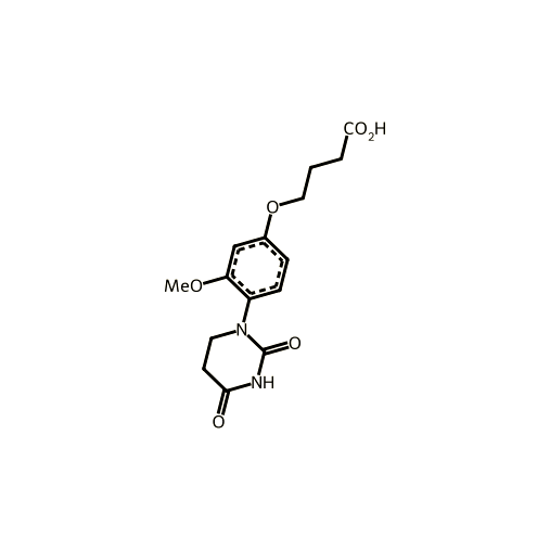 COc1cc(OCCCC(=O)O)ccc1N1CCC(=O)NC1=O